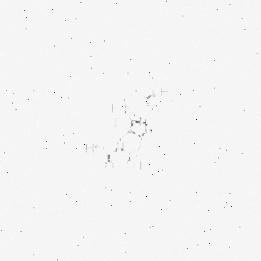 C=C1CCC(F)(F)c2c3c(nn2C1)C[C@@H](C)N(C(=O)O)C3